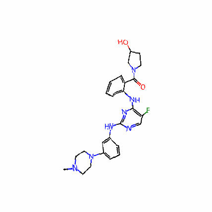 CN1CCN(c2cccc(Nc3ncc(F)c(Nc4ccccc4C(=O)N4CCC(O)C4)n3)c2)CC1